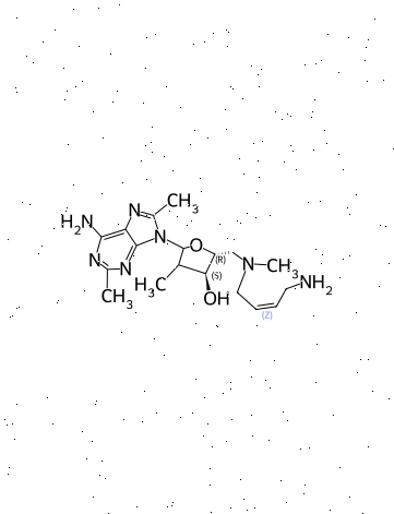 Cc1nc(N)c2nc(C)n(C3O[C@H](CN(C)C/C=C\CN)[C@@H](O)C3C)c2n1